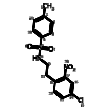 Cc1ccc(S(=O)(=O)NCCc2ccc(Cl)cc2[N+](=O)[O-])cc1